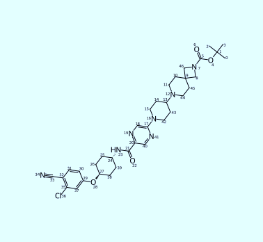 CC(C)(C)OC(=O)N1CC2(CCN(C3CCN(c4cnc(C(=O)N[C@H]5CC[C@H](Oc6ccc(C#N)c(Cl)c6)CC5)cn4)CC3)CC2)C1